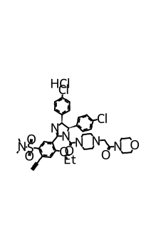 C#Cc1cc(OCC)c(C2=N[C@@H](c3ccc(Cl)cc3)[C@@H](c3ccc(Cl)cc3)N2C(=O)N2CCN(CC(=O)N3CCOCC3)CC2)cc1S(=O)(=O)N(C)C.Cl